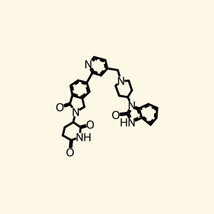 O=C1CCC(N2Cc3cc(-c4cc(CN5CCC(n6c(=O)[nH]c7ccccc76)CC5)ccn4)ccc3C2=O)C(=O)N1